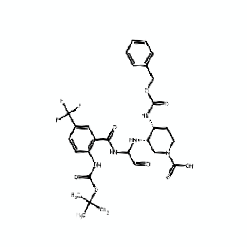 CC(C)(C)OC(=O)Nc1ccc(C(F)(F)F)cc1C(=O)NC(C=O)N[C@H]1CN(C(=O)O)CC[C@H]1NC(=O)OCc1ccccc1